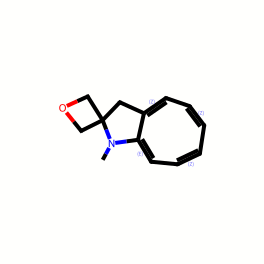 CN1C2=C/C=C\C=C/C=C\2CC12COC2